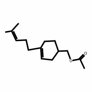 CC(=O)OCC1CC=C(CCC=C(C)C)CC1